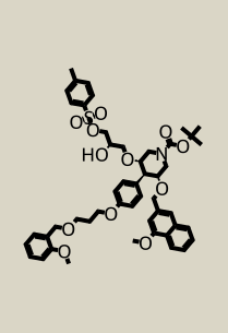 COc1ccccc1COCCCOc1ccc([C@@H]2[C@@H](OCc3cc(OC)c4ccccc4c3)CN(C(=O)OC(C)(C)C)C[C@H]2OC[C@H](O)COS(=O)(=O)c2ccc(C)cc2)cc1